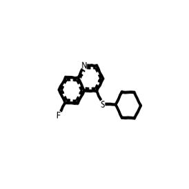 Fc1ccc2nccc(SC3CCCCC3)c2c1